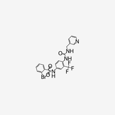 O=C(NCc1cccnc1)Nc1ccc(NS(=O)(=O)c2ccccc2Br)cc1C(F)(F)F